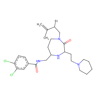 C=C(C)C(CC)CN1CCC(CNC(=O)c2ccc(Cl)c(Cl)c2)NC(CCN2CCCCC2)C1=O